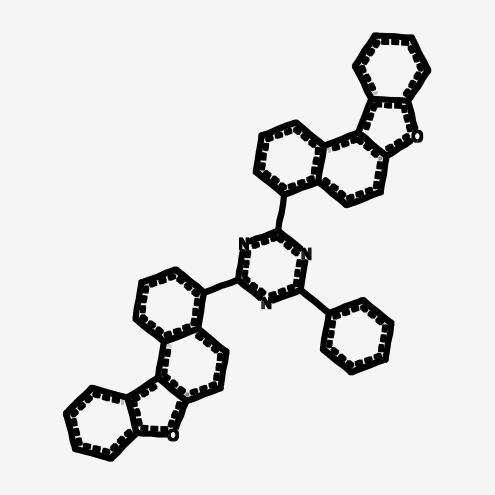 c1ccc(-c2nc(-c3cccc4c3ccc3oc5ccccc5c34)nc(-c3cccc4c3ccc3oc5ccccc5c34)n2)cc1